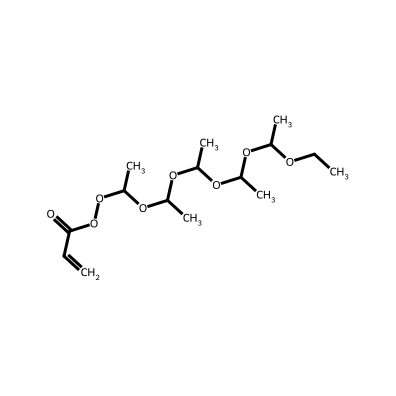 C=CC(=O)OOC(C)OC(C)OC(C)OC(C)OC(C)OCC